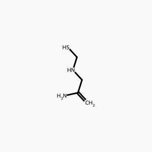 C=C(N)CNCS